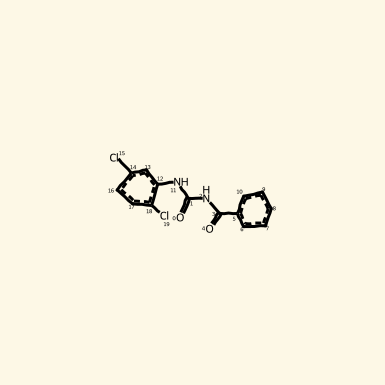 O=C(NC(=O)c1ccccc1)Nc1cc(Cl)ccc1Cl